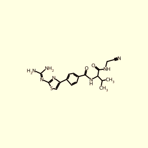 CC(C)C(NC(=O)c1ccc(-c2csc(N=C(N)N)n2)cc1)C(=O)NCC#N